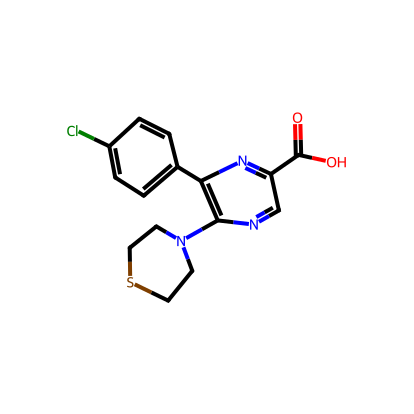 O=C(O)c1cnc(N2CCSCC2)c(-c2ccc(Cl)cc2)n1